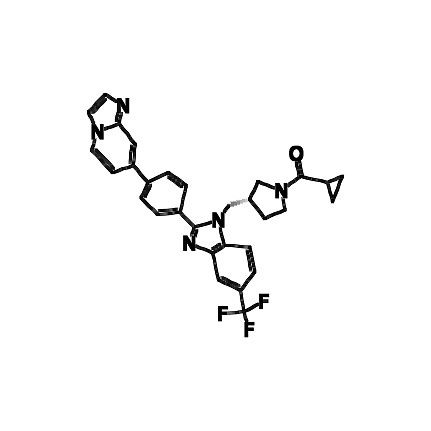 O=C(C1CC1)N1CC[C@H](Cn2c(-c3ccc(-c4ccn5ccnc5c4)cc3)nc3cc(C(F)(F)F)ccc32)C1